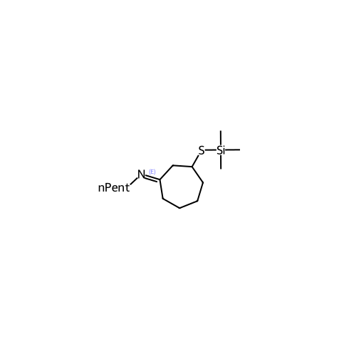 CCCCC/N=C1\CCCCC(S[Si](C)(C)C)C1